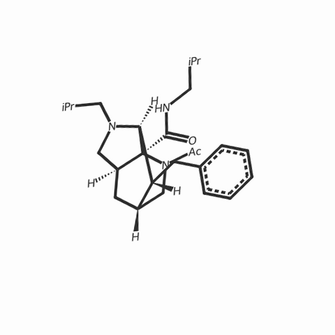 CC(=O)N1C[C@@H]2C[C@H]3CN(CC(C)C)[C@@H]([C@@H]2Cc2ccccc2)[C@]31C(=O)NCC(C)C